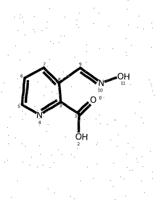 O=C(O)c1ncccc1C=NO